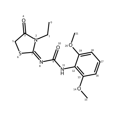 CCN1C(=O)CSC1=NC(=O)Nc1c(OC)cccc1OC